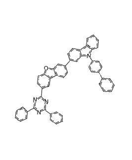 c1ccc(-c2ccc(-n3c4ccccc4c4ccc(-c5ccc6c(c5)oc5ccc(-c7nc(-c8ccccc8)nc(-c8ccccc8)n7)cc56)cc43)cc2)cc1